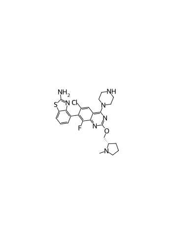 CN1CCC[C@H]1COc1nc(N2CCNCC2)c2cc(Cl)c(-c3cccc4sc(N)nc34)c(F)c2n1